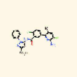 CCOC(=O)c1cc(NC(=O)c2cc(-c3nc(N)c(F)cc3C#N)ccc2Cl)n(-c2ccccc2)n1